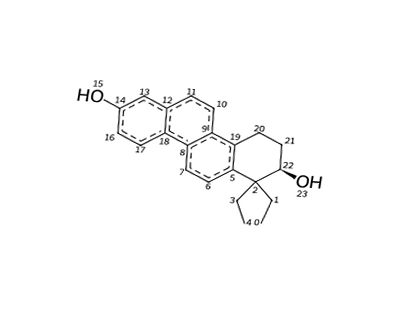 CCC1(CC)c2ccc3c(ccc4cc(O)ccc43)c2CC[C@H]1O